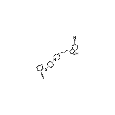 N#Cc1ccc2[nH]cc(CCCN3CCN(c4ccc(Sc5ncccc5C#N)cc4)CC3)c2c1